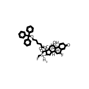 C[C@@H]1C[C@H]2[C@@H]3C[C@H](F)C4=CC(=O)C=C[C@]4(C)[C@@]3(F)[C@@H](O)C[C@]2(C)[C@@]1(OC(=O)CCCCOC(c1ccccc1)(c1ccccc1)c1ccccc1)C(=O)SCF